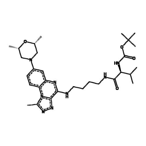 Cc1nnc2c(NCCCCNC(=O)[C@@H](NC(=O)OC(C)(C)C)C(C)C)nc3cc(N4C[C@@H](C)O[C@@H](C)C4)ccc3n12